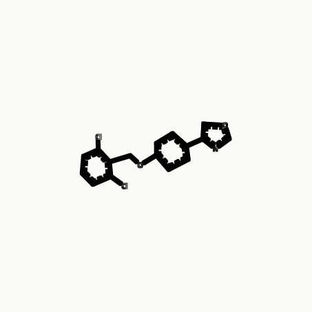 Clc1cccc(Cl)c1COc1ccc(-c2cocn2)cc1